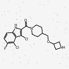 O=C(c1[nH]c2ccc(F)c(Cl)c2c1Cl)N1CCC(COC2CNC2)CC1